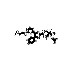 COCCOc1nccc(-c2[nH]c(C3OCC(C)(C(=O)NC4CC4)CO3)nc2-c2ccc(F)cc2)n1